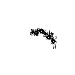 CNC(=O)c1cc(Oc2ccc(NC(=O)Nc3cccc(OC4CCNCC4)c3C(F)(F)F)cc2)ccn1